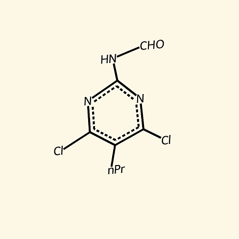 CCCc1c(Cl)nc(NC=O)nc1Cl